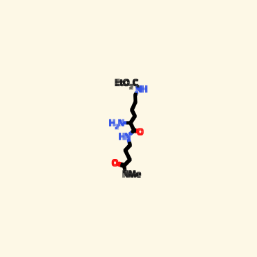 CCOC(=O)NCCCCC(N)C(=O)NCCCC(=O)NC